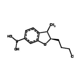 CC1c2ccc(B(O)O)cc2O[C@@H]1CCCCl